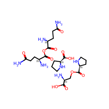 NC(=O)CC[C@H](N)C(=O)OC(=O)[C@@H](N)CCC(N)=O.N[C@@H](COC(=O)[C@@H]1CCCN1)C(=O)O.O=C(O)[C@@H]1CCCN1